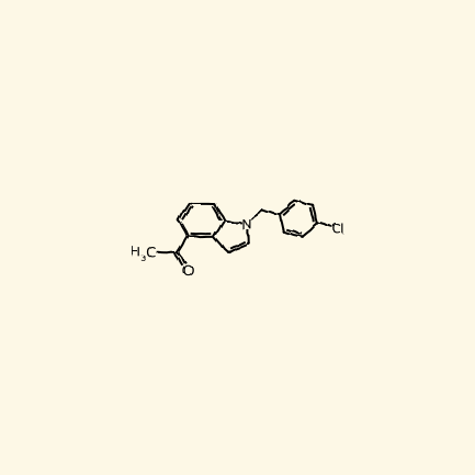 CC(=O)c1cccc2c1ccn2Cc1ccc(Cl)cc1